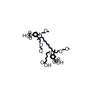 COCCOCCC1(C)C(/C=C/C=C/C=C/C=C2/N(CCOC)c3ccc(S(=O)(=O)O)cc3C2(C)CCOCCOC)=[N+](CCCCCC(=O)O)c2ccc(S(=O)(=O)O)cc21